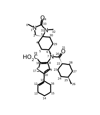 CN1C[C@]2(CC[C@H](N(c3cc(C4=CCCCC4)sc3C(=O)O)C(=O)[C@H]3CC[C@H](C)CC3)CC2)N(C)C1=O